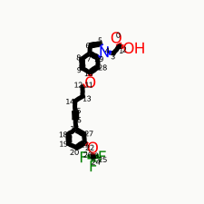 O=C(O)Cn1ccc2ccc(OCCCC#Cc3cccc(OC(F)(F)F)c3)cc21